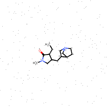 CCC1C(=O)N(C)CC1CC1CN2CCC1C2